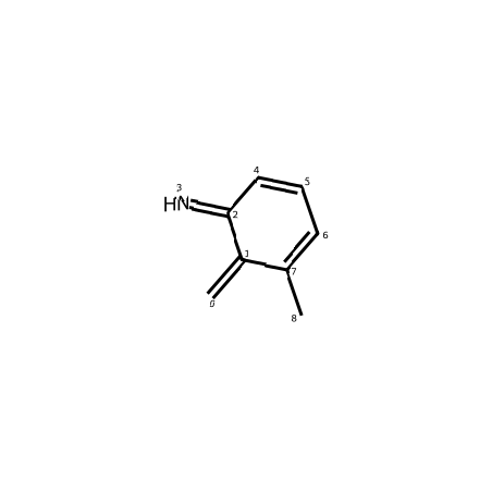 C=C1C(=N)C=CC=C1C